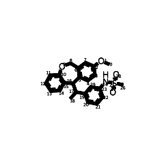 COc1ccc2c(c1)COc1ccccc1C2C(C)c1cccc(NS(C)(=O)=O)c1